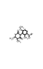 COc1ccc([N+](=O)[O-])c(C)c1C1C(=O)CC(C)C(C)C1=O